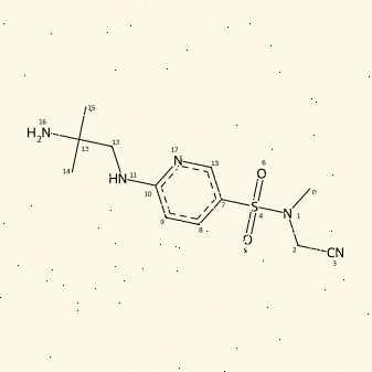 CN(CC#N)S(=O)(=O)c1ccc(NCC(C)(C)N)nc1